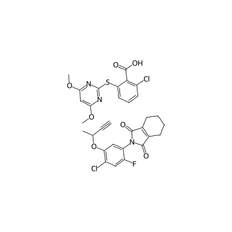 C#CC(C)Oc1cc(N2C(=O)C3=C(CCCC3)C2=O)c(F)cc1Cl.COc1cc(OC)nc(Sc2cccc(Cl)c2C(=O)O)n1